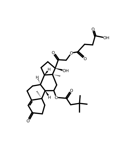 CC(C)(C)CC(=O)OC1C[C@@]2(C)[C@@H](CC[C@]2(O)C(=O)COC(=O)CCC(=O)O)[C@@H]2CCC3=CC(=O)CC[C@]3(C)[C@@H]12